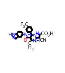 CC1=C(C(=O)Nc2ccc3[nH]ncc3c2)C(c2ccc(C(F)(F)F)cc2)n2nc(C(=O)O)c(C#N)c2N1